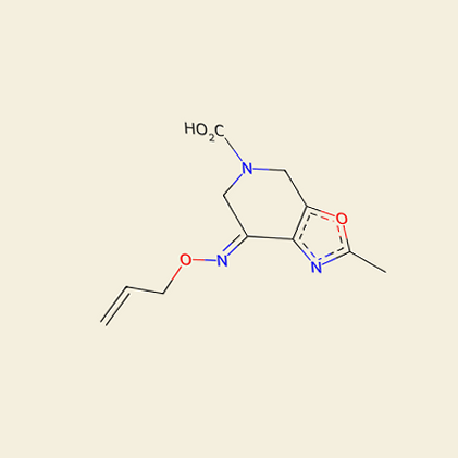 C=CCON=C1CN(C(=O)O)Cc2oc(C)nc21